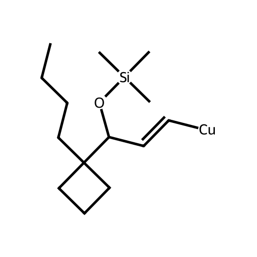 CCCCC1(C(/C=[CH]/[Cu])O[Si](C)(C)C)CCC1